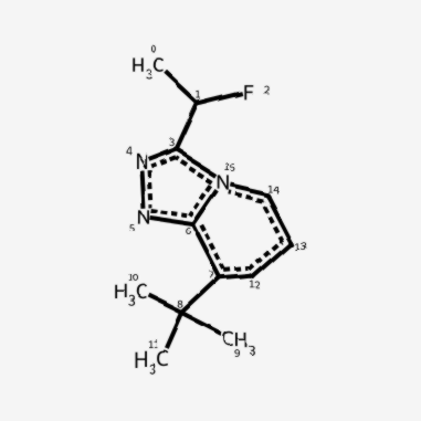 CC(F)c1nnc2c(C(C)(C)C)cccn12